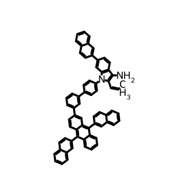 C/C=C\c1c(N)c2ccc(-c3ccc4ccccc4c3)cc2n1-c1ccc(-c2cccc(-c3ccc4c(-c5ccc6ccccc6c5)c5ccccc5c(-c5ccc6ccccc6c5)c4c3)c2)cc1